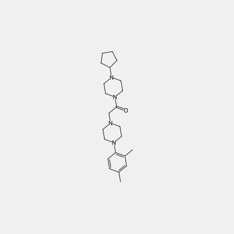 Cc1ccc(N2CCN(CC(=O)N3CCN(C4CCCC4)CC3)CC2)c(C)c1